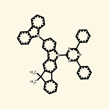 CC1(C)c2ccccc2-c2cc3c(cc21)c1cc(-n2c4ccccc4c4ccccc42)ccc1n3-c1nc(-c2ccccc2)nc(-c2ccccc2)n1